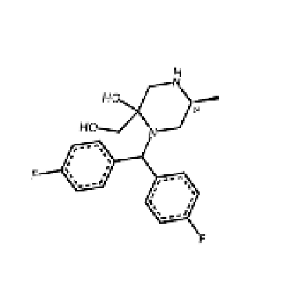 C[C@H]1CN(C(c2ccc(F)cc2)c2ccc(F)cc2)C(O)(CO)CN1